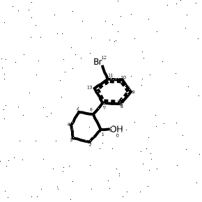 O[C]1CCCCC1c1cccc(Br)c1